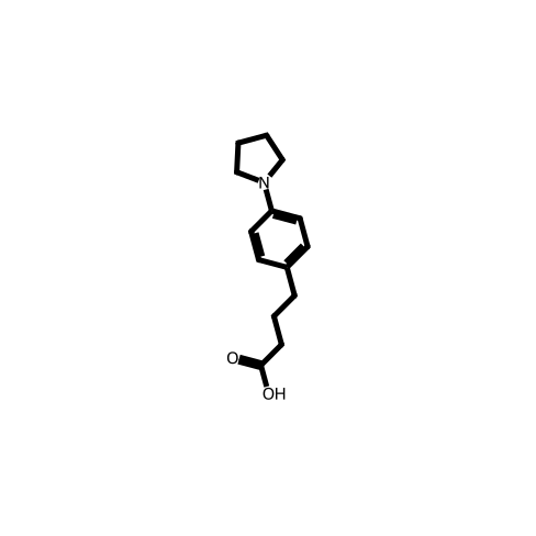 O=C(O)CCCc1ccc(N2CCCC2)cc1